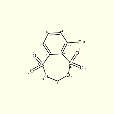 O=S1(=O)OCOS(=O)(=O)c2c(F)cccc21